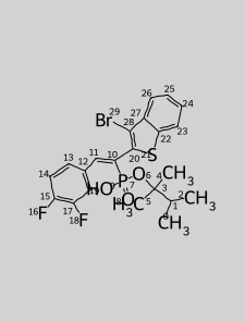 CC(C)C(C)(C)OP(=O)(O)C(=Cc1ccc(F)c(F)c1)c1sc2ccccc2c1Br